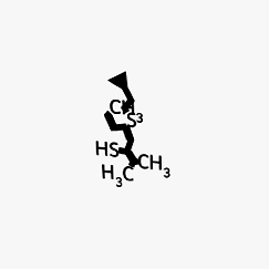 C/C=C\C(=C/C(S)=C(C)C)SCCC1CC1